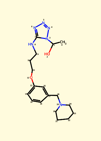 CC(O)n1nnnc1NCCCOc1cccc(CN2CCCCC2)c1